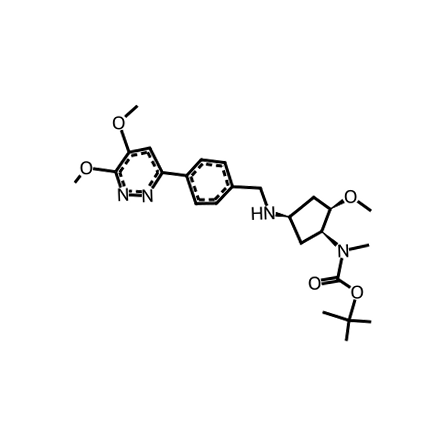 COc1cc(-c2ccc(CN[C@H]3C[C@@H](OC)[C@@H](N(C)C(=O)OC(C)(C)C)C3)cc2)nnc1OC